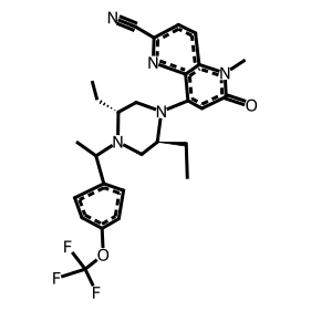 CC[C@H]1CN(C(C)c2ccc(OC(F)(F)F)cc2)[C@H](CC)CN1c1cc(=O)n(C)c2ccc(C#N)nc12